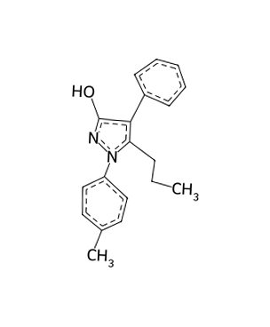 CCCc1c(-c2ccccc2)c(O)nn1-c1ccc(C)cc1